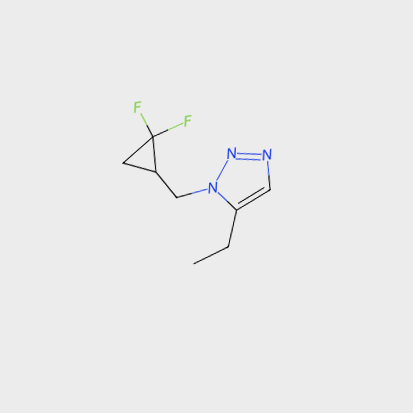 CCc1cnnn1CC1CC1(F)F